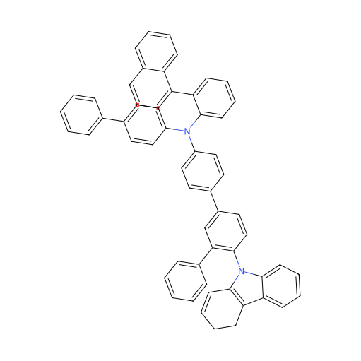 C1=Cc2c(c3ccccc3n2-c2ccc(-c3ccc(N(c4ccc(-c5ccccc5)cc4)c4ccccc4-c4cccc5ccccc45)cc3)cc2-c2ccccc2)CC1